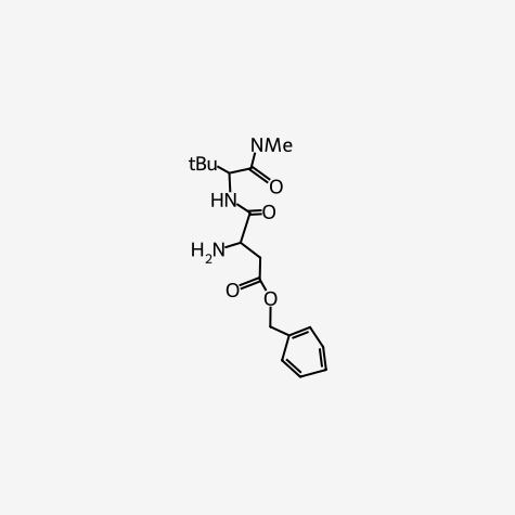 CNC(=O)C(NC(=O)C(N)CC(=O)OCc1ccccc1)C(C)(C)C